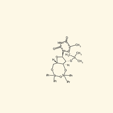 Cc1cn([C@@H]2O[C@H]3CO[Si](C(C)C)(C(C)C)O[Si](C(C)C)(C(C)C)O[C@@H]3[C@H]2O[Si](C)(C)C)c(=O)[nH]c1=O